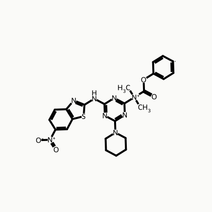 C[N+](C)(C(=O)Oc1cc[c]cc1)c1nc(Nc2nc3ccc([N+](=O)[O-])cc3s2)nc(N2CCCCC2)n1